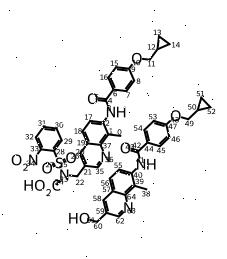 Cc1c(NC(=O)c2ccc(OCC3CC3)cc2)ccc2cc(CN(C(=O)O)S(=O)(=O)c3ccccc3[N+](=O)[O-])cnc12.Cc1c(NC(=O)c2ccc(OCC3CC3)cc2)ccc2cc(CO)cnc12